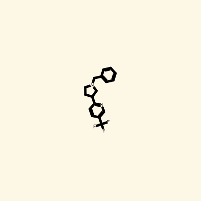 FC(F)(F)c1ccc(C2CCN(Cc3ccccc3)C2)nc1